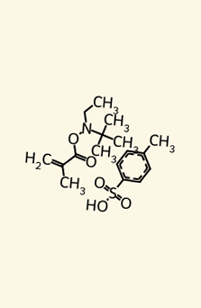 C=C(C)C(=O)ON(CC)C(C)(C)C.Cc1ccc(S(=O)(=O)O)cc1